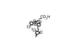 O=C(O)CC[C@H]1CN(S(=O)(=O)c2cccc(C(F)(F)F)c2)c2cc(/C=C/c3c(Cl)cc(F)cc3Cl)ccc2O1